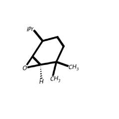 CC(C)C1CCC(C)(C)[C@H]2OC12